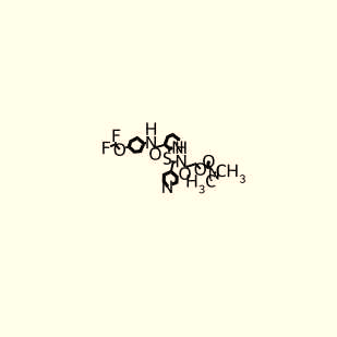 CN(C)C(=O)OCC(=O)NC(Sc1ncccc1C(=O)Nc1ccc(OC(F)F)cc1)c1ccncc1